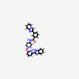 O=C(NC1CCN(Oc2cccc(-c3nc4ccccc4[nH]3)n2)CC1)c1cccc(-c2cn3ccccc3n2)c1